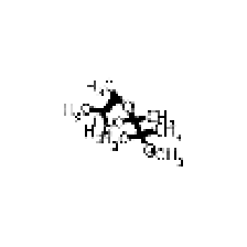 COC(C)(C)C(C)(C)OC(C)=C(C)C